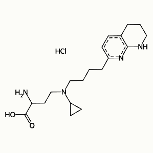 Cl.NC(CCN(CCCCc1ccc2c(n1)NCCC2)C1CC1)C(=O)O